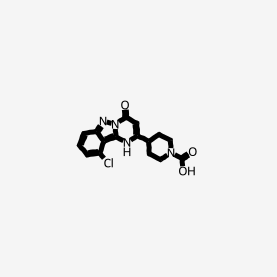 O=C(O)N1CCC(c2cc(=O)n3nc4cccc(Cl)c4c3[nH]2)CC1